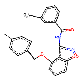 Cc1ccc(COc2cccc3onc(NC(=O)c4cccc([N+](=O)[O-])c4)c23)cc1